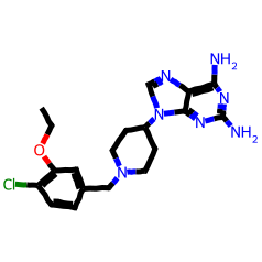 CCOc1cc(CN2CCC(n3cnc4c(N)nc(N)nc43)CC2)ccc1Cl